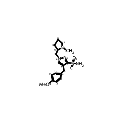 COc1ccc(Cc2cn(CC3CCCN3C)nc2S(N)(=O)=O)cc1